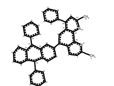 Cc1ccc2c(-c3ccc4c(-c5ccccc5)c5ccccc5c(-c5ccccc5)c4c3)cc3c(-c4ccccc4)cc(C)nc3c2n1